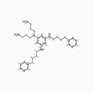 NCCCN(CCCN)c1nc(NCCCCc2ccccc2)nc(NCCCCc2ccccc2)n1